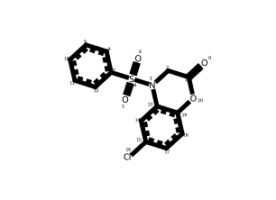 O=C1[C]N(S(=O)(=O)c2ccccc2)c2cc(Cl)ccc2O1